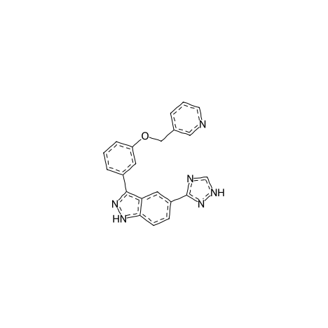 c1cncc(COc2cccc(-c3n[nH]c4ccc(-c5nc[nH]n5)cc34)c2)c1